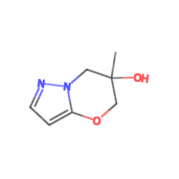 CC1(O)COc2ccnn2C1